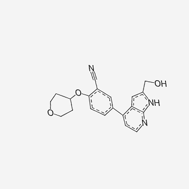 N#Cc1cc(-c2ccnc3[nH]c(CO)cc23)ccc1OC1CCOCC1